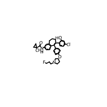 CC1(C(=O)Nc2ccc3c(c2)CCCC(c2ccc(Cl)cc2O)=C3c2ccc(OC3CCN(CCCF)C3)cc2)CC1